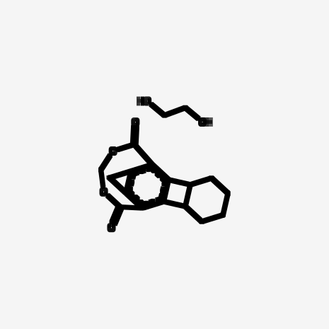 O=C1OCOC(=O)c2c3c(c1c1c2C2CCCCC12)C3.OCCO